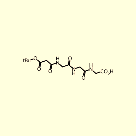 CC(C)(C)OC(=O)CC(=O)NCC(=O)NCC(=O)NCC(=O)O